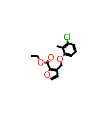 CCOC(=O)c1occc1COc1cccc(Cl)c1C